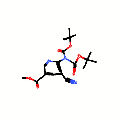 COC(=O)c1cnc(N(C(=O)OC(C)(C)C)C(=O)OC(C)(C)C)c(C#N)c1